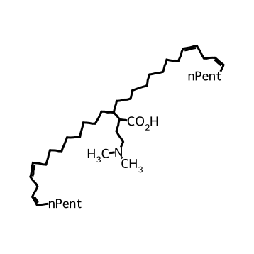 CCCCC/C=C\C/C=C\CCCCCCCCC(CCCCCCCC/C=C\C/C=C\CCCCC)C(CCN(C)C)C(=O)O